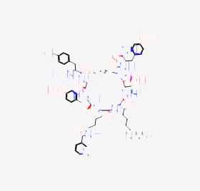 CNCCCCC[C@@H]1NC(=O)[C@@H](CCCCNC(=O)c2cccnc2)NC(=O)[C@H](Cc2ccc(O)cc2)NC(=O)[C@H](NC(=O)[C@@H](N)Cc2ccc(Cl)cc2)CSSC[C@@H](C(=O)NC(Cc2ccc(O)cc2)C(N)=O)NC(=O)[C@H]([C@@H](C)O)NC1=O